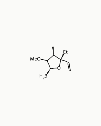 B[C@@H]1O[C@](C=C)(CC)[C@H](C)C1OC